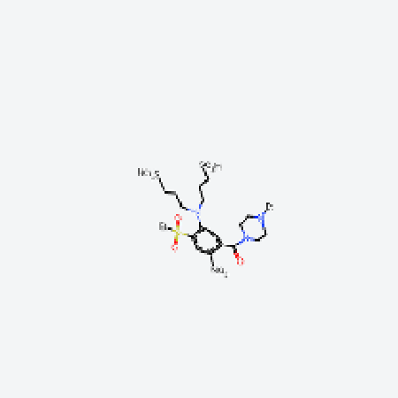 CCN1CCN(C(=O)c2cc(N(CCCS(=O)(=O)O)CCCS(=O)(=O)O)c(S(=O)(=O)CC)cc2[N+](=O)[O-])CC1